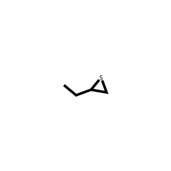 CCC1CS1